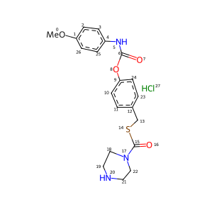 COc1ccc(NC(=O)Oc2ccc(CSC(=O)N3CCNCC3)cc2)cc1.Cl